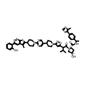 Cc1ncsc1-c1ccc(C(C)NC(=O)[C@@H]2C[C@@H](O)CN2C(=O)C(c2cc(N3CCC(c4cnc(N5CCC(c6sc7nnc(-c8ccccc8O)cc7c6C)CC5)nc4)CC3)no2)C(C)C)cc1